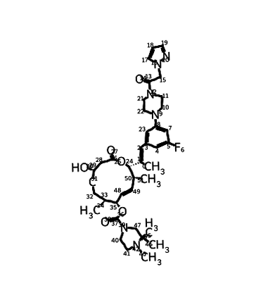 C/C(=C\c1cc(F)cc(N2CCN(C(=O)Cn3cccn3)CC2)c1)[C@H]1OC(=O)C[C@H](O)CC[C@H](C)[C@H](OC(=O)N2CCN(C)C(C)(C)C2)/C=C/[C@@H]1C